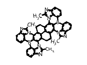 Cc1nc2cccc3c2n1-c1c2c4c(c5c1B3c1cccc3nc(C)n-5c13)CCc1c-4c(c3c4c1-n1c(C)nc5cccc(c51)B4c1cccc4nc(C)n-3c14)CC2